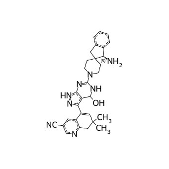 CC1(C)C=C(c2n[nH]c3c2C(O)NC(N2CCC4(CC2)Cc2ccccc2[C@H]4N)=N3)c2cc(C#N)cnc2C1